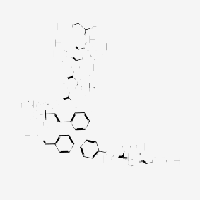 C=C(C)C(=O)O.C=C(C)C(=O)O.C=C(C)C(=O)O.C=CC#N.C=CC(=O)O.C=CC(=O)O.C=Cc1ccccc1.CCC(O)CO.CCCCCCCCCC(C)(C)C=Cc1ccccc1.Cc1ccccc1